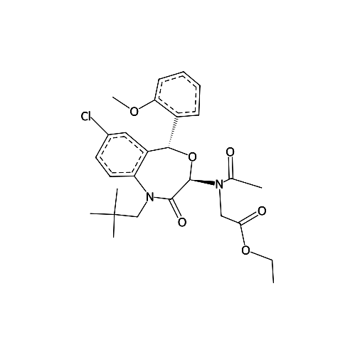 CCOC(=O)CN(C(C)=O)[C@@H]1O[C@@H](c2ccccc2OC)c2cc(Cl)ccc2N(CC(C)(C)C)C1=O